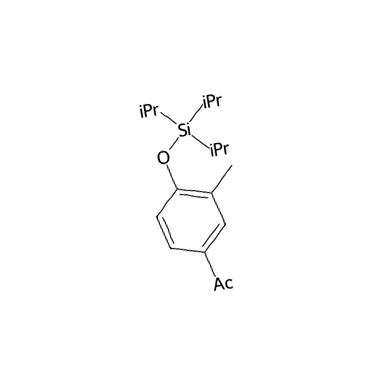 CC(=O)c1ccc(O[Si](C(C)C)(C(C)C)C(C)C)c(C)c1